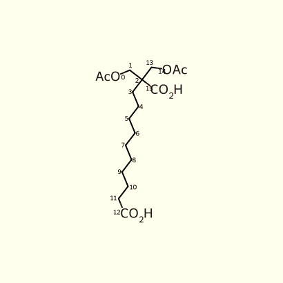 CC(=O)OCC(CCCCCCCCCC(=O)O)(COC(C)=O)C(=O)O